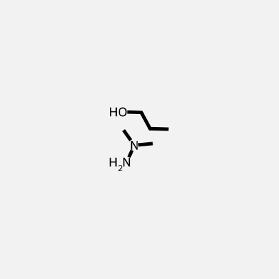 CCCO.CN(C)N